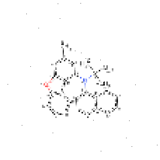 Cc1cc(N(c2cccc3ccccc23)C(C)(C)C)c2c(c1)oc1ccccc12